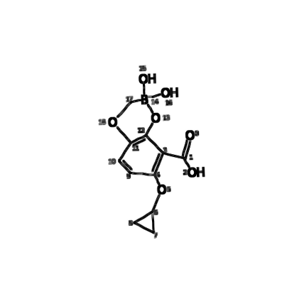 O=C(O)c1c(OC2CC2)ccc2c1O[B-](O)(O)CO2